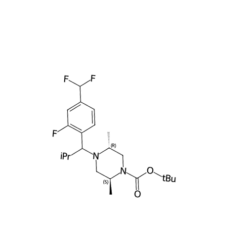 CC(C)C(c1ccc(C(F)F)cc1F)N1C[C@H](C)N(C(=O)OC(C)(C)C)C[C@H]1C